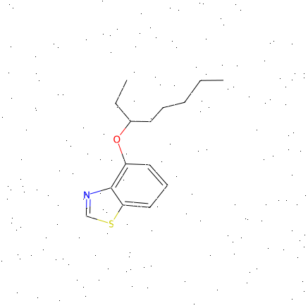 CCCCCC(CC)Oc1cccc2scnc12